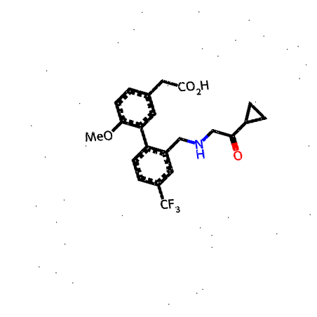 COc1ccc(CC(=O)O)cc1-c1ccc(C(F)(F)F)cc1CNCC(=O)C1CC1